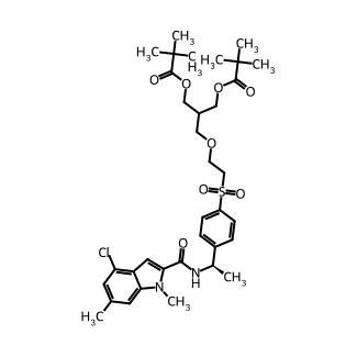 Cc1cc(Cl)c2cc(C(=O)N[C@H](C)c3ccc(S(=O)(=O)CCOCC(COC(=O)C(C)(C)C)COC(=O)C(C)(C)C)cc3)n(C)c2c1